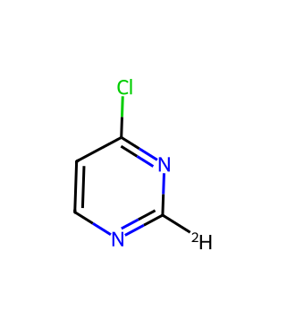 [2H]c1nccc(Cl)n1